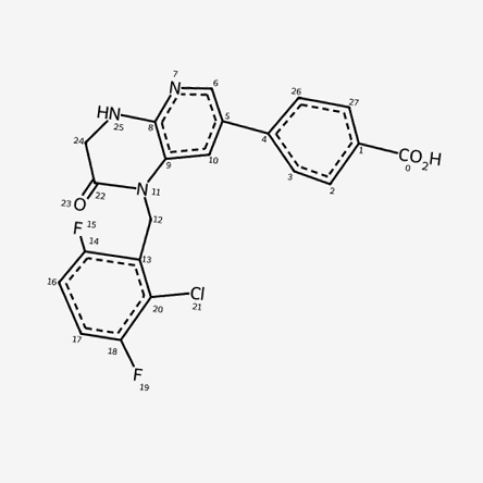 O=C(O)c1ccc(-c2cnc3c(c2)N(Cc2c(F)ccc(F)c2Cl)C(=O)CN3)cc1